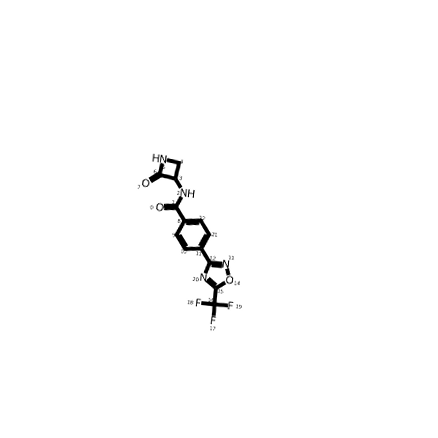 O=C(NC1CNC1=O)c1ccc(-c2noc(C(F)(F)F)n2)cc1